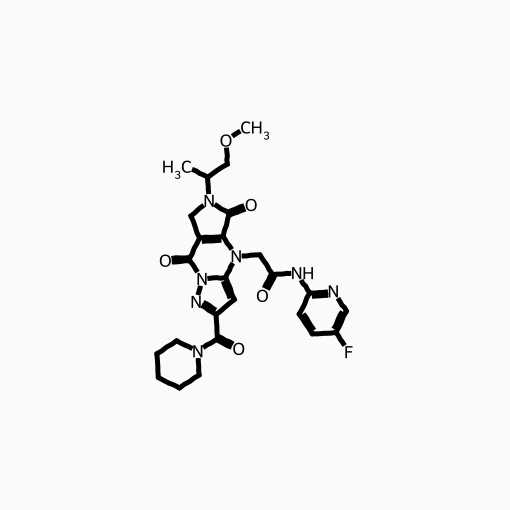 COCC(C)N1Cc2c(n(CC(=O)Nc3ccc(F)cn3)c3cc(C(=O)N4CCCCC4)nn3c2=O)C1=O